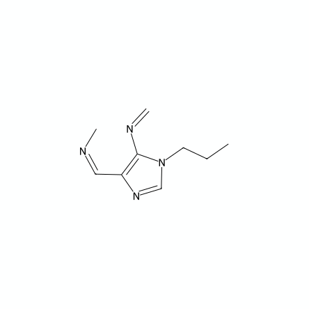 C=Nc1c(/C=N\C)ncn1CCC